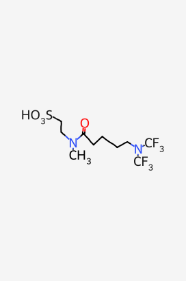 CN(CCS(=O)(=O)O)C(=O)CCCCN(C(F)(F)F)C(F)(F)F